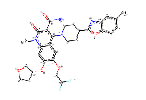 Cc1ccc2oc(C3CCN(c4c(C(N)=O)c(=O)n(C)c5cc(O[C@@H]6CCOC6)c(OCC(F)F)cc45)CC3)nc2c1